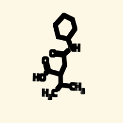 CC(C)C(CC(=O)NC1CCCCC1)C(=O)O